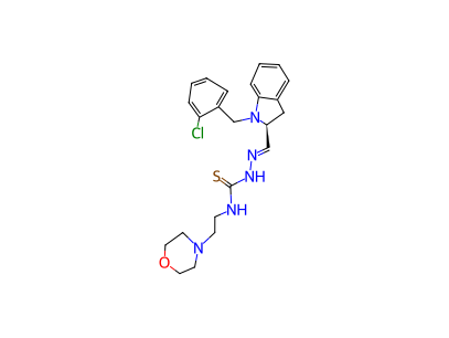 S=C(NCCN1CCOCC1)NN=C[C@@H]1Cc2ccccc2N1Cc1ccccc1Cl